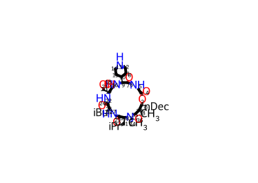 CCCCCCCCCC[C@H]1OC(=O)CNC(=O)[C@H](C2CCNCC2)NC(=O)[C@H](CO)NC(=O)[C@H](C(C)CC)NC(=O)[C@H](CC(C)C)N(C)C(=O)[C@@H]1C